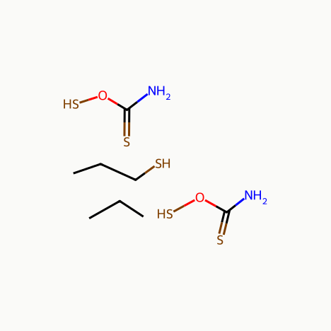 CCC.CCCS.NC(=S)OS.NC(=S)OS